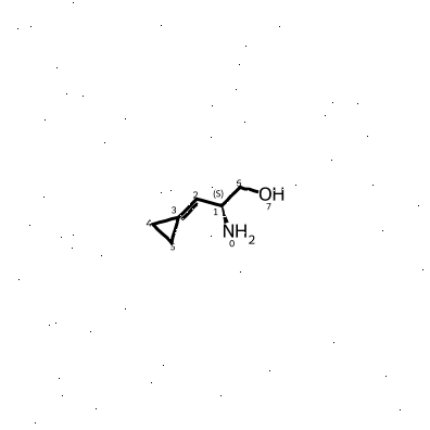 N[C@@H](C=C1CC1)CO